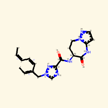 C\C=C/C=C\C(=C/C)Cn1cnc(C(=O)N[C@H]2CCn3nccc3NC2=O)n1